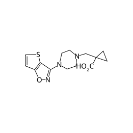 O=C(O)C1(CN2CCN(c3noc4ccsc34)CC2)CC1